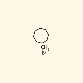 C1CCCCCCC1.CBr